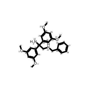 COc1cc(OC)cc(C(N)(CNCc2ccccc2)c2cc(OC)cc(OC)c2)c1